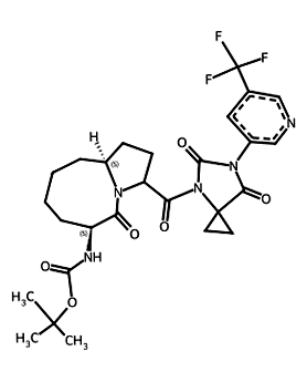 CC(C)(C)OC(=O)N[C@H]1CCCC[C@H]2CCC(C(=O)N3C(=O)N(c4cncc(C(F)(F)F)c4)C(=O)C34CC4)N2C1=O